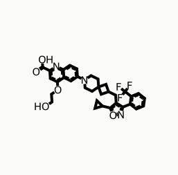 O=C(O)c1cc(OCCO)c2cc(N3CCC4(CC3)CC(Cc3c(-c5ccccc5C(F)(F)F)noc3C3CC3)C4)ccc2n1